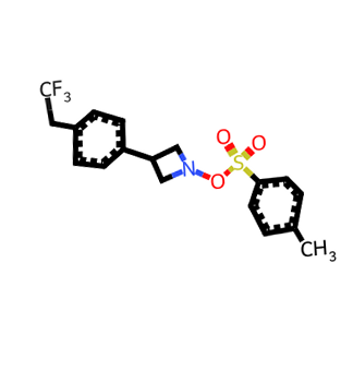 Cc1ccc(S(=O)(=O)ON2CC(c3ccc(CC(F)(F)F)cc3)C2)cc1